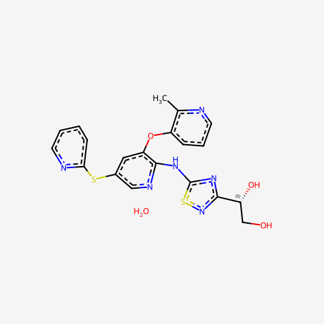 Cc1ncccc1Oc1cc(Sc2ccccn2)cnc1Nc1nc([C@H](O)CO)ns1.O